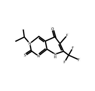 CC(C)n1cc2c(=O)c(F)c(C(F)(F)F)[nH]c2nc1=S